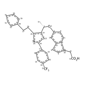 C[C@H](Oc1ccc2c(ccn2CC(=O)O)c1)c1sc(-c2ccc(C(F)(F)F)cc2)nc1CCc1ccccc1